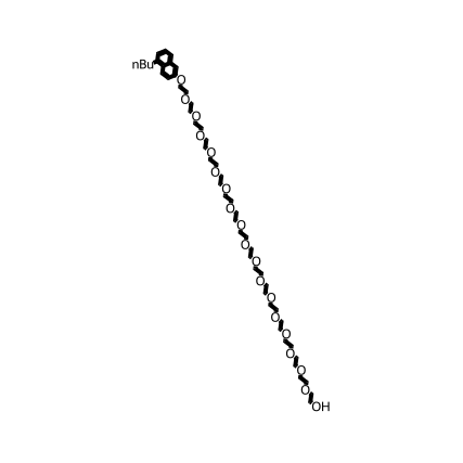 CCCCc1cccc2cc(OCCOCCOCCOCCOCCOCCOCCOCCOCCOCCOCCOCCOCCOCCOCCOCCOCCOCCO)ccc12